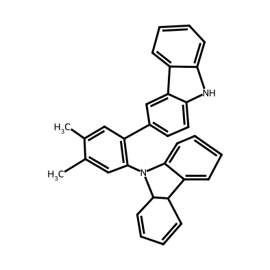 Cc1cc(-c2ccc3[nH]c4ccccc4c3c2)c(N2c3ccccc3C3C=CC=CC32)cc1C